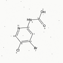 O=C(O)Nc1cc(Br)c(Cl)cn1